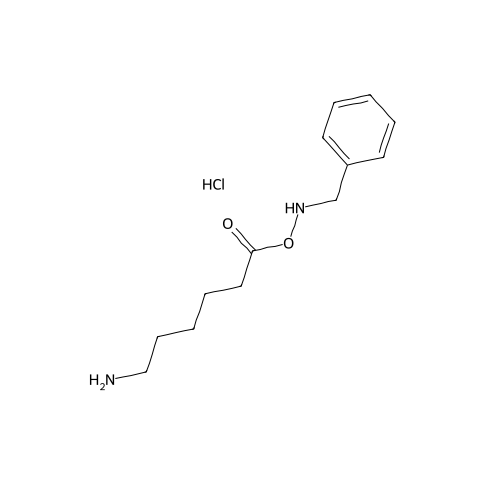 Cl.NCCCCCC(=O)ONCc1ccccc1